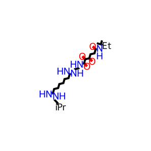 CCC(C)(C)NC(=O)CCC(=O)C(=O)C(=O)NCCNC(=N)CCCCCCC(=N)NCCC(C)C